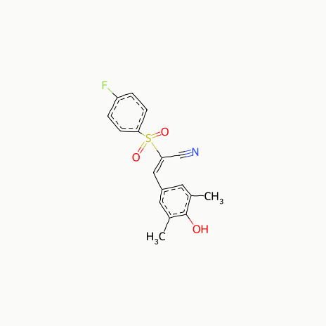 Cc1cc(/C=C(\C#N)S(=O)(=O)c2ccc(F)cc2)cc(C)c1O